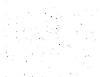 Cc1cnn(C)c1C=Nc1ccccc1O[SiH](C)C